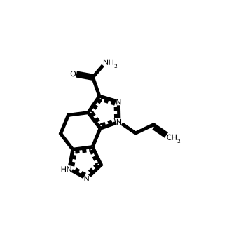 C=CCn1nc(C(N)=O)c2c1-c1cn[nH]c1CC2